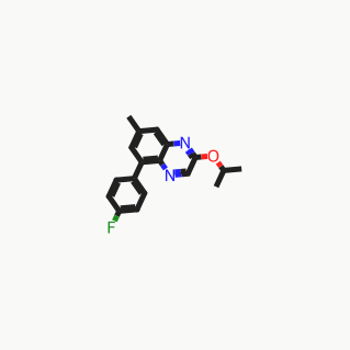 Cc1cc(-c2ccc(F)cc2)c2ncc(OC(C)C)nc2c1